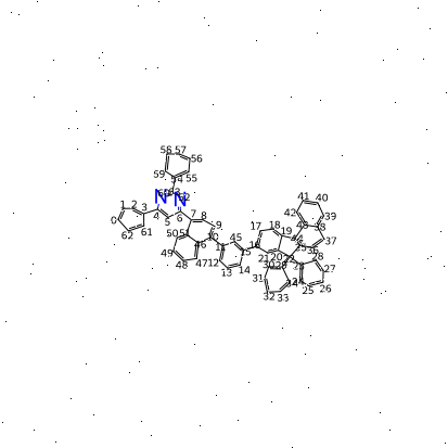 c1ccc(-c2cc(-c3ccc(-c4cccc(-c5ccc6c(c5)C(c5ccccc5)(c5ccccc5)c5ccc7ccccc7c5-6)c4)c4ccccc34)nc(-c3ccccc3)n2)cc1